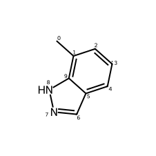 Cc1c[c]cc2cn[nH]c12